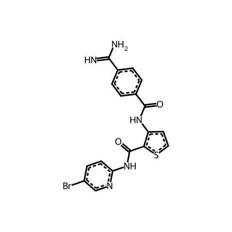 N=C(N)c1ccc(C(=O)Nc2ccsc2C(=O)Nc2ccc(Br)cn2)cc1